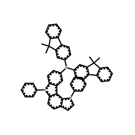 CC1(C)c2ccccc2-c2ccc(N(c3ccc4c(c3)C(C)(C)c3ccccc3-4)c3ccc4c(c3)c3c5c(ccc3n4-c3ccccc3)ccn5-c3ccccc3)cc21